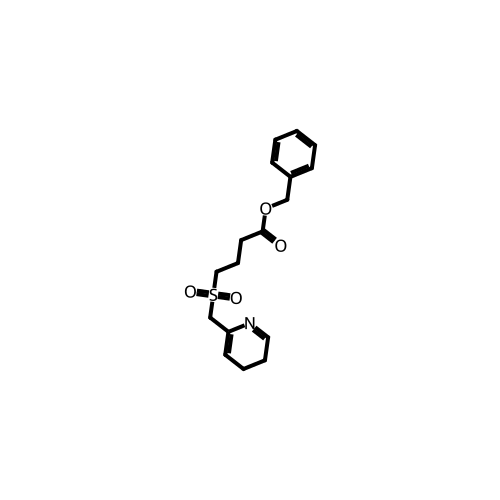 O=C(CCCS(=O)(=O)CC1=CCCC=N1)OCc1ccccc1